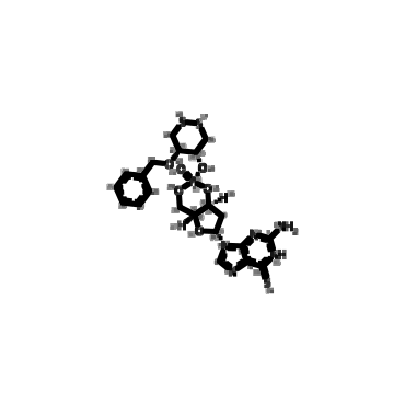 Nc1nc2c(ncn2[C@H]2C[C@@H]3O[P@@](=O)(O[C@H]4CSSC[C@@H]4OCc4ccccc4)OC[C@H]3O2)c(=S)[nH]1